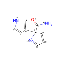 NC(=O)C1(c2[c]c[nH]c2)C=CC=N1